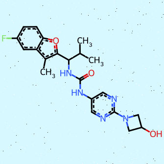 Cc1c(C(NC(=O)Nc2cnc(N3CC(O)C3)nc2)C(C)C)oc2ccc(F)cc12